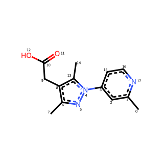 Cc1cc(-n2nc(C)c(CC(=O)O)c2C)ccn1